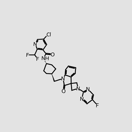 O=C(N[C@H]1CC[C@H](CN2C(=O)C3(CN(c4ncc(F)cn4)C3)c3ccccc32)CC1)c1cc(Cl)cnc1C(F)F